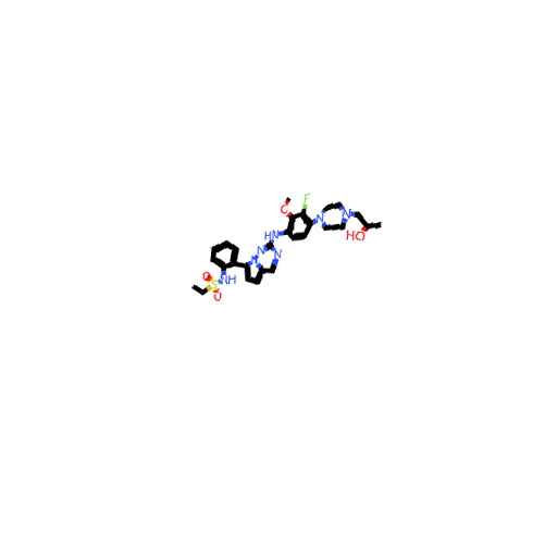 CCS(=O)(=O)Nc1ccccc1-c1ccc2cnc(Nc3ccc(N4CCN(CC(C)O)CC4)c(F)c3OC)nn12